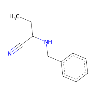 CCC(C#N)NCc1ccccc1